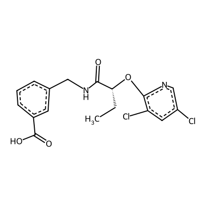 CC[C@@H](Oc1ncc(Cl)cc1Cl)C(=O)NCc1cccc(C(=O)O)c1